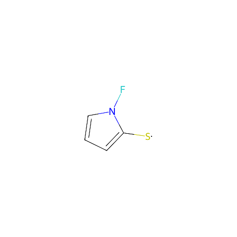 Fn1cccc1[S]